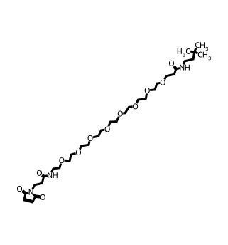 CC(C)(C)CCNC(=O)CCOCCOCCOCCOCCOCCOCCOCCOCCNC(=O)CCN1C(=O)C=CC1=O